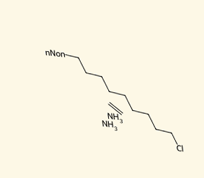 C=C.CCCCCCCCCCCCCCCCCCCl.N.N